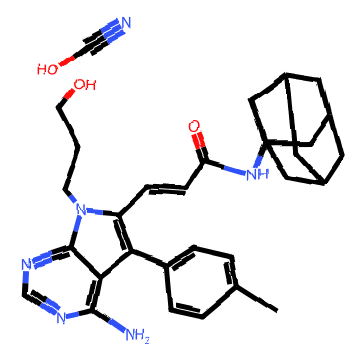 Cc1ccc(-c2c(C=CC(=O)NC34CC5CC(CC(C5)C3)C4)n(CCCO)c3ncnc(N)c23)cc1.N#CO